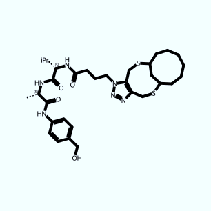 CC(C)[C@H](NC(=O)CCCn1nnc2c1CSC1CCCCCCC(C1)SC2)C(=O)N[C@@H](C)C(=O)Nc1ccc(CO)cc1